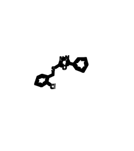 Clc1ccccc1CSc1nnc(-c2ccccc2)o1